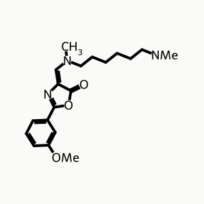 CNCCCCCCN(C)C=C1N=C(c2cccc(OC)c2)OC1=O